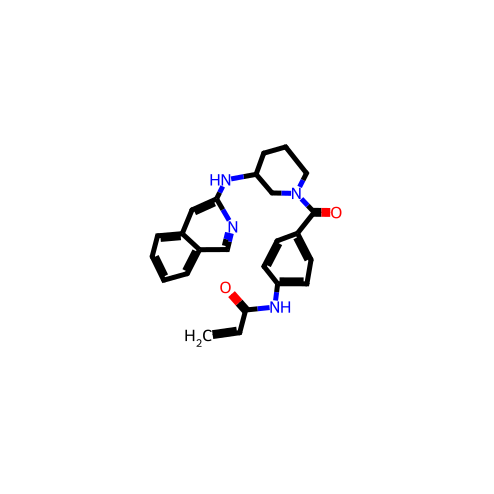 C=CC(=O)Nc1ccc(C(=O)N2CCCC(Nc3cc4ccccc4cn3)C2)cc1